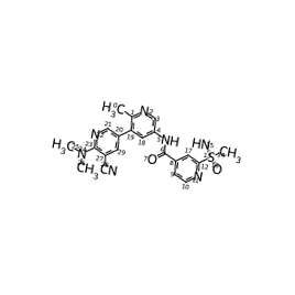 Cc1ncc(NC(=O)c2ccnc(S(C)(=N)=O)c2)cc1-c1cnc(N(C)C)c(C#N)c1